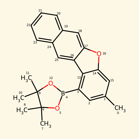 Cc1cc(B2OC(C)(C)C(C)(C)O2)c2c(c1)oc1cc3ccccc3cc12